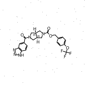 O=C(OCc1ccc(OC(F)(F)F)cc1)N1C[C@H]2CN(C(=O)c3ccc4[nH]nnc4c3)C[C@@H]2C1